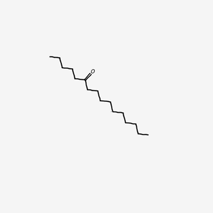 CCCCC[CH]CCCCC(=O)CCCCC